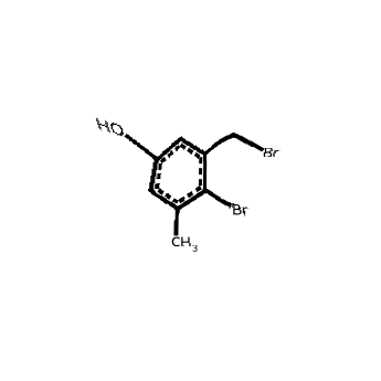 Cc1cc(O)cc(CBr)c1Br